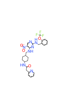 O=C(Cc1ccccn1)NC1CCC(CNc2nc(NCc3ccccc3OC(F)(F)F)ncc2[N+](=O)[O-])CC1